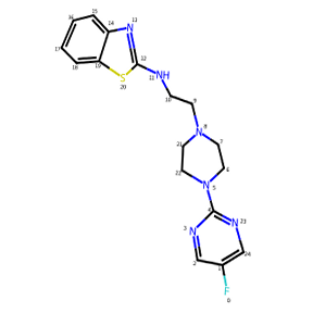 Fc1cnc(N2CCN(CCNc3nc4ccccc4s3)CC2)nc1